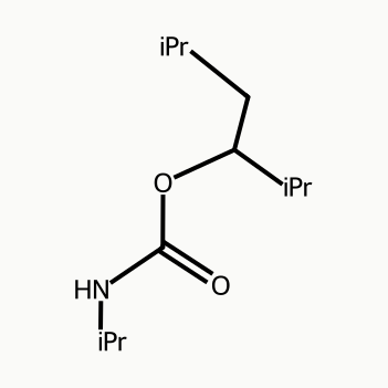 CC(C)CC(OC(=O)NC(C)C)C(C)C